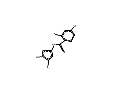 CC(=O)c1cc(NC(=O)c2ccc(Cl)cc2F)cn1C